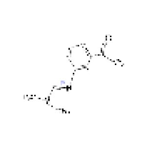 CN(C)/C=N/c1cccc(C(N)=O)n1